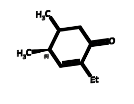 CCC1=C[C@@H](C)C(C)CC1=O